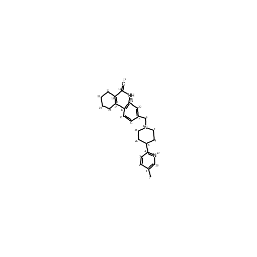 Cc1ccc(C2CCN(Cc3ccc4c5c(c(=O)[nH]c4c3)CCCC5)CC2)nc1